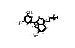 Cc1cc(C)cc(C2=Nc3c(C)ccc4c(CCC(F)(F)F)ccc2c34)c1